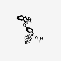 CCc1cc2ccccc2c(Oc2ccc(C[C@H](NC(=O)OC(C)(C)C)C(=O)O)cc2)n1